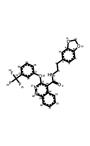 O=C(NCCc1ccc2c(c1)OCO2)c1c(Oc2cccc(C(F)(F)F)c2)nnc2ccccc12